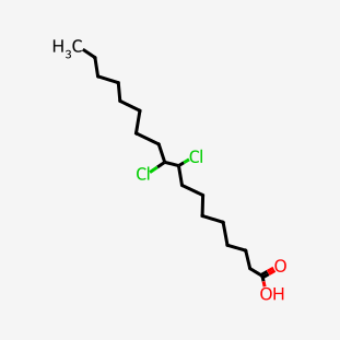 CCCCCCCCC(Cl)C(Cl)CCCCCCCC(=O)O